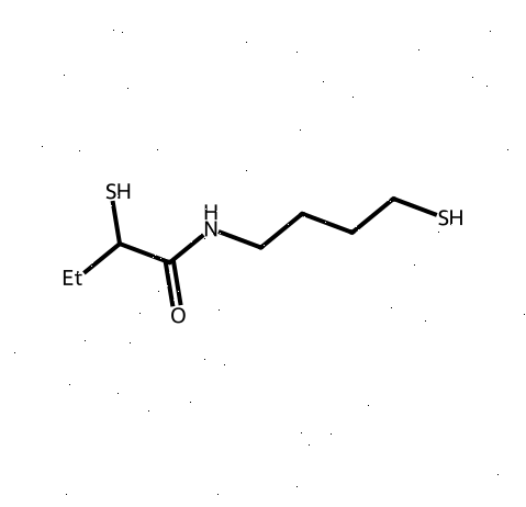 CCC(S)C(=O)NCCCCS